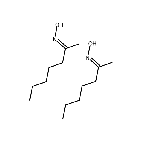 CCCCCC(C)=NO.CCCCCC(C)=NO